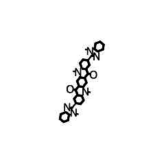 Cn1c(-c2ccc3c(c2)c(=O)c2cc4c(cc2n3C)c(=O)c2cc(-c3nc5ccccc5n3C)ccc2n4C)nc2ccccc21